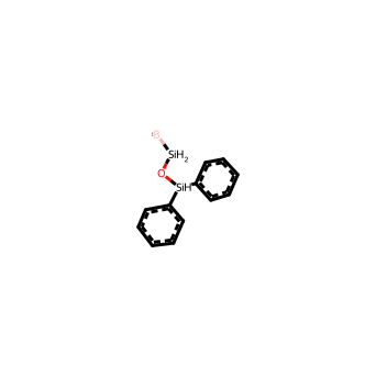 [B][SiH2]O[SiH](c1ccccc1)c1ccccc1